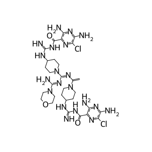 C=C(/N=C(\N=C(/N)N1CCOCC1)N1CCC(NC(=N)NC(=O)c2nc(Cl)c(N)nc2N)CC1)N1CCC(NC(=N)NC(=O)c2nc(Cl)c(N)nc2N)CC1